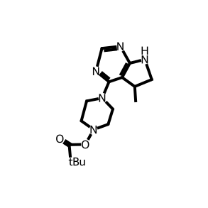 CC1CNc2ncnc(N3CCN(OC(=O)C(C)(C)C)CC3)c21